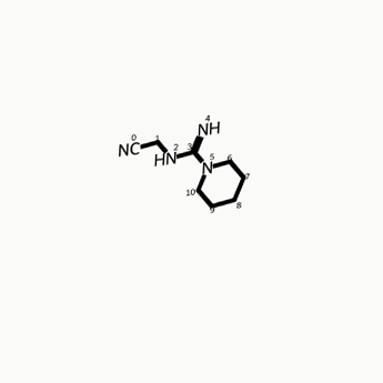 N#CCNC(=N)N1CCCCC1